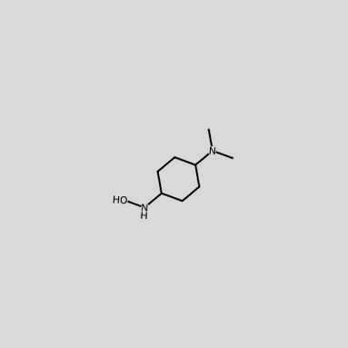 CN(C)C1CCC(NO)CC1